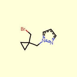 BrCC1(Cn2cccn2)CC1